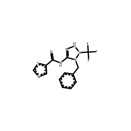 O=C(NC1=NNN(C(F)(F)F)N1Cc1ccccc1)c1cncs1